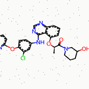 C[C@@H](Oc1cccc2ncnc(Nc3ccc(Oc4ccccn4)c(Cl)c3)c12)C(=O)N1CCCC(O)C1